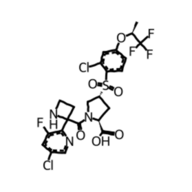 C[C@H](Oc1ccc(S(=O)(=O)[C@@H]2C[C@@H](C(=O)O)N(C(=O)C3(c4ncc(Cl)cc4F)CCN3)C2)c(Cl)c1)C(F)(F)F